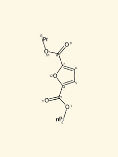 CCCOC(=O)c1ccc(C(=O)OC(C)C)o1